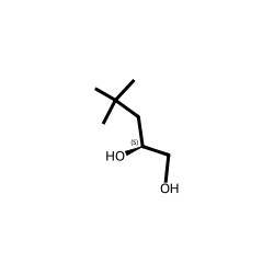 CC(C)(C)C[C@H](O)CO